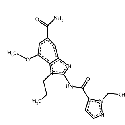 CCCn1c(NC(=O)c2ccnn2CC)nc2cc(C(N)=O)cc(OC)c21